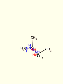 CC#CC#CC#CC#Cc1cc(C)c(O)c(CNCCNCc2cc(C#CC#CC#CC#CC)cc(CNCCNCC)c2O)c1